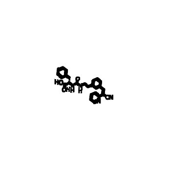 N#CC(=Cc1cccc(CCNC(=O)N[C@@H](Cc2ccccc2)B(O)O)c1)c1ccccn1